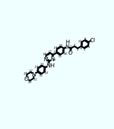 O=C(CCc1ccc(Cl)cc1)Nc1ccc(-c2ccnc(Nc3ccc(N4CCOCC4)cc3)n2)cc1